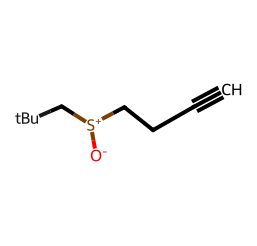 C#CCC[S+]([O-])CC(C)(C)C